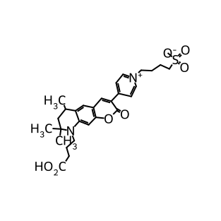 CC1CC(C)(C)N(CCCC(=O)O)c2cc3oc(=O)c(-c4cc[n+](CCCCS(=O)(=O)[O-])cc4)cc3cc21